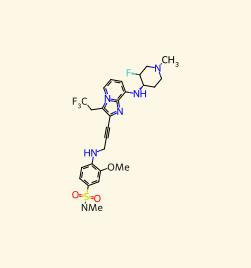 CNS(=O)(=O)c1ccc(NCC#Cc2nc3c(N[C@@H]4CCN(C)C[C@@H]4F)cccn3c2CC(F)(F)F)c(OC)c1